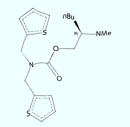 CCCC[C@H](COC(=O)N(Cc1cccs1)Cc1cccs1)NC